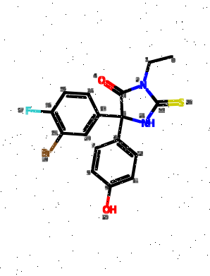 CCN1C(=O)C(c2ccc(O)cc2)(c2ccc(F)c(Br)c2)NC1=S